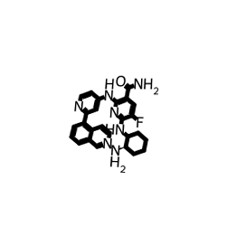 NC(=O)c1cc(F)c(NC2CCCC[C@@H]2N)nc1Nc1ccnc(-c2cccc3cnccc23)c1